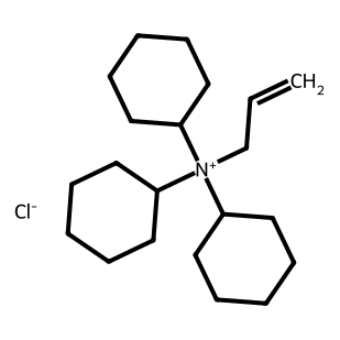 C=CC[N+](C1CCCCC1)(C1CCCCC1)C1CCCCC1.[Cl-]